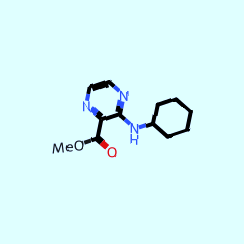 COC(=O)c1nccnc1NC1CCCCC1